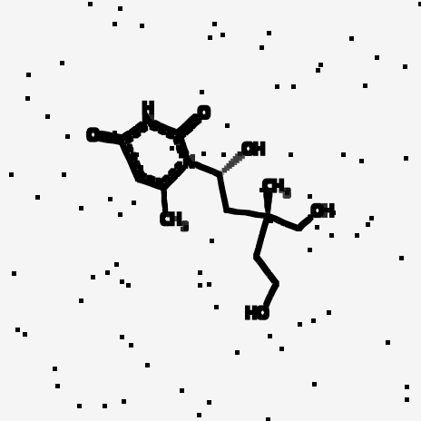 Cc1cc(=O)[nH]c(=O)n1[C@H](O)C[C@](C)(CO)CCO